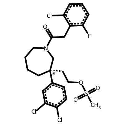 CS(=O)(=O)OCC[C@]1(c2ccc(Cl)c(Cl)c2)CCCCN(C(=O)Cc2c(F)cccc2Cl)C1